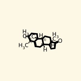 C[C@H]1CC[C@@]2(C)C(=CC[C@@H]3[C@@H]2CC[C@]2(C)C(=O)CC[C@@H]32)[C@@H]1C